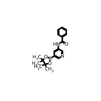 CC1(C)OB(c2cncc(NC(=O)c3ccccc3)c2)OC1(C)C